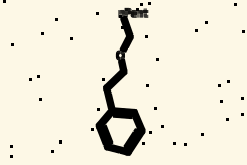 CCCCCCOCCc1cc[c]cc1